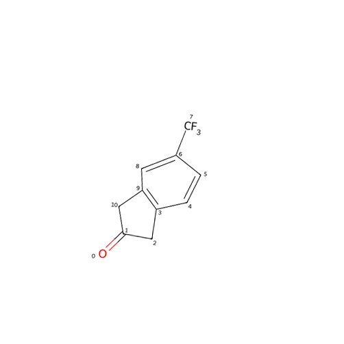 O=C1Cc2ccc(C(F)(F)F)cc2C1